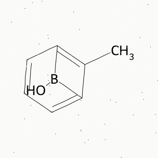 Cc1c2cccc1B2O